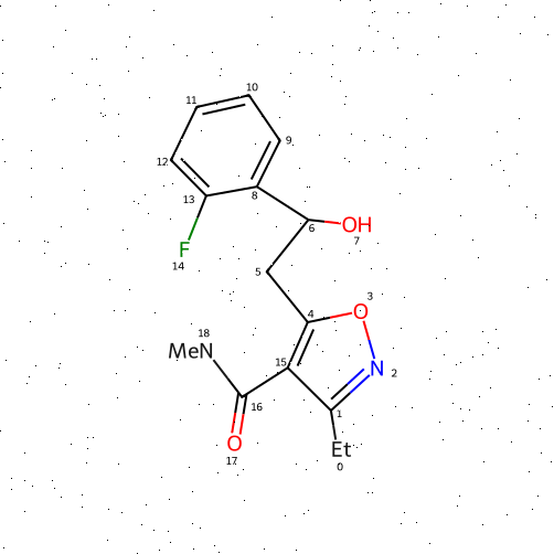 CCc1noc(CC(O)c2ccccc2F)c1C(=O)NC